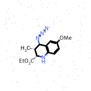 CCOC(=O)[C@H]1Nc2ccc(OC)cc2[C@H](N=[N+]=[N-])[C@H]1C